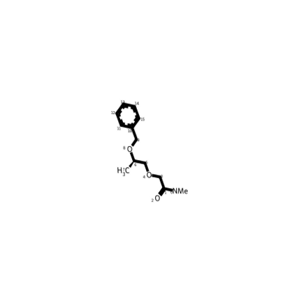 CNC(=O)COC[C@@H](C)OCc1ccccc1